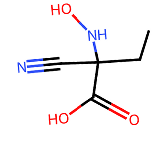 CCC(C#N)(NO)C(=O)O